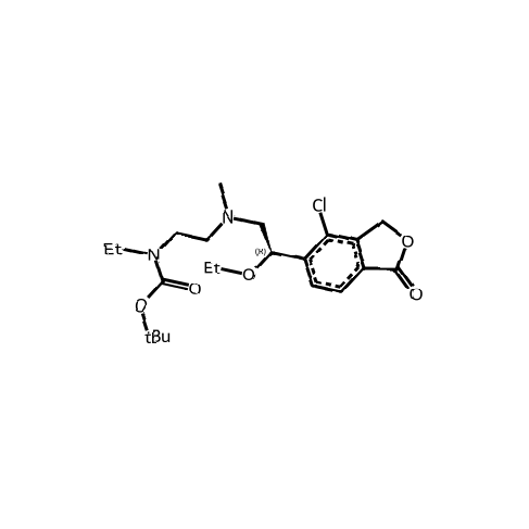 CCO[C@@H](CN(C)CCN(CC)C(=O)OC(C)(C)C)c1ccc2c(c1Cl)COC2=O